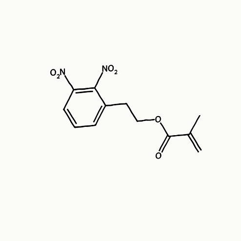 C=C(C)C(=O)OCCc1cccc([N+](=O)[O-])c1[N+](=O)[O-]